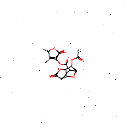 CC(=O)C(=O)OC1C2OC(=O)C3C2OC1C3C(=O)OC1=C(C)C(C)OC1=O